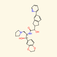 O=C(N[C@H](CN1CCCC1)[C@H](O)c1ccc2c(c1)OCCO2)C(O)C1Cc2ccc(-c3ccccn3)cc2C1